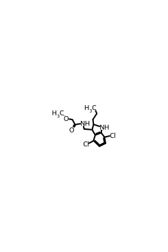 CCCC1NC2=C(C(Cl)=C=C=C2Cl)C1CNC(=O)COC